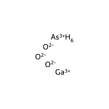 [AsH6+3].[Ga+3].[O-2].[O-2].[O-2]